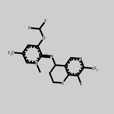 Cn1cc(C(F)(F)F)cc(OC(F)F)/c1=N/C1CCSc2c1cnc(C(F)(F)F)c2F